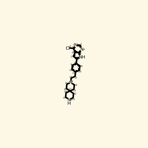 Clc1ncnc2[nH]c(-c3ccc(CCN4CCC5(CCNCC5)CC4)cc3)cc12